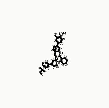 CCC(C)(C)n1cc(-c2ccnc(N(CC34CCC(c5ccc(OC)c(C)c5)(CC3)CC4)C(=O)C3CCCCC3)c2)cn1